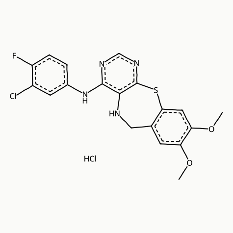 COc1cc2c(cc1OC)Sc1ncnc(Nc3ccc(F)c(Cl)c3)c1NC2.Cl